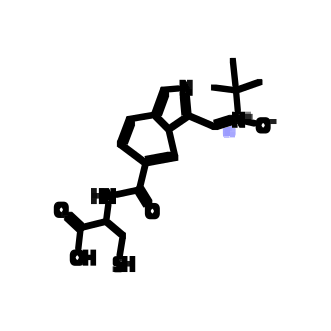 CC(C)(C)/[N+]([O-])=C\C1=NC=C2C=CC(C(=O)NC(CS)C(=O)O)=CC21